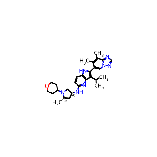 Cc1c(-c2[nH]c3ccc(N[C@@H]4C[C@H](C)N(C5CCOCC5)C4)nc3c2C(C)C)cn2ncnc2c1C